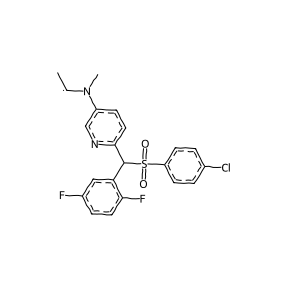 C[CH]N(C)c1ccc(C(c2cc(F)ccc2F)S(=O)(=O)c2ccc(Cl)cc2)nc1